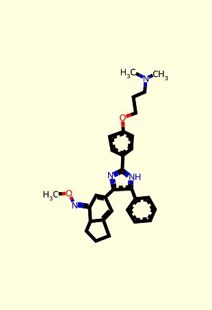 CON=C1C=C(c2nc(-c3ccc(OCCCN(C)C)cc3)[nH]c2-c2ccccc2)C=C2CCCC21